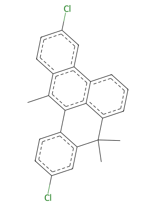 Cc1c2c3c(cccc3c3cc(Cl)ccc13)C(C)(C)c1cc(Cl)ccc1-2